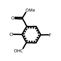 COC(=O)c1cc(F)cc(C=O)c1Cl